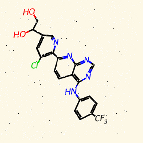 OCC(O)c1cnc(-c2ccc3c(Nc4ccc(C(F)(F)F)cc4)ncnc3n2)c(Cl)c1